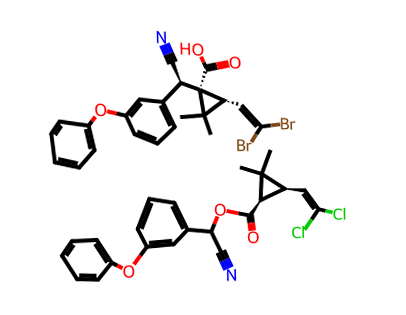 CC1(C)[C@@H](C=C(Br)Br)[C@]1(C(=O)O)[C@H](C#N)c1cccc(Oc2ccccc2)c1.CC1(C)[C@H](C(=O)OC(C#N)c2cccc(Oc3ccccc3)c2)[C@@H]1C=C(Cl)Cl